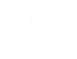 CN1C(=O)CCC2=C1CCc1ccccc12